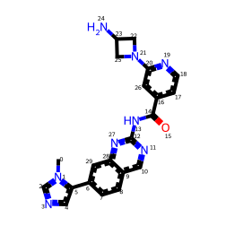 Cn1cncc1-c1ccc2cnc(NC(=O)c3ccnc(N4CC(N)C4)c3)nc2c1